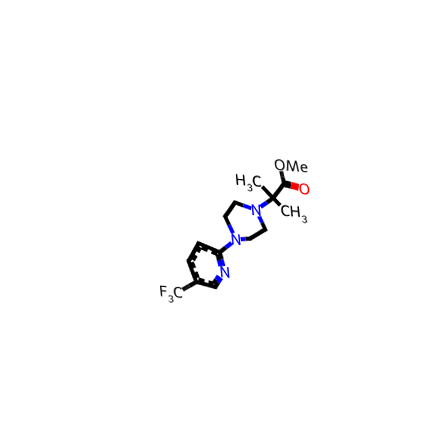 COC(=O)C(C)(C)N1CCN(c2ccc(C(F)(F)F)cn2)CC1